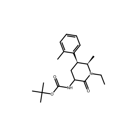 CCN1C(=O)C(NC(=O)OC(C)(C)C)C[C@@H](c2ccccc2C)[C@H]1C